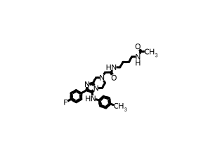 CC(=O)NCCCCNC(=O)CN1CCn2c(nc(-c3ccc(F)cc3)c2Nc2ccc(C)cc2)C1